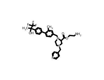 Cc1cc(CN2CCN(Cc3ccncc3)CC2C(=O)OCCN)ccc1-c1ccc(C(C)(O)C(F)(F)F)cc1